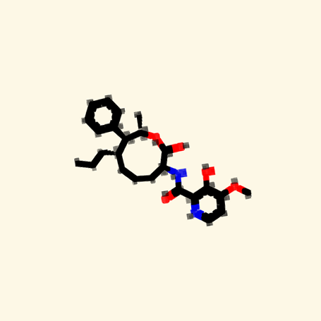 CCC[C@H]1CCC[C@H](NC(=O)c2nccc(OC)c2O)C(=O)O[C@@H](C)[C@@H]1c1ccccc1